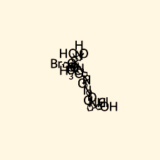 COc1cc2c(cc1CNC[C@H](OS(=O)(=O)c1ccc(Br)cc1)c1ccc(O)c3[nH]c(=O)ccc13)CCN2C(=O)CCN1CCC(OC(=O)Nc2ccccc2-c2ccc(O)c(Cl)c2)CC1